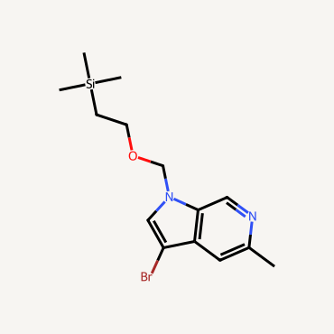 Cc1cc2c(Br)cn(COCC[Si](C)(C)C)c2cn1